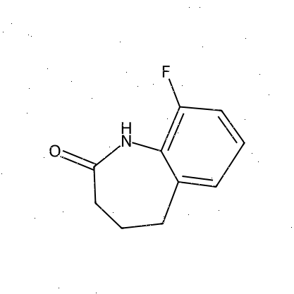 O=C1CCCc2cccc(F)c2N1